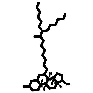 CCCCCCN(CCCCCC)C(=O)CCCCCCCC1CC2CC(=O)CC[C@]2(C)[C@@H]2CC[C@]3(C)C(O)CC[C@H]3[C@H]12